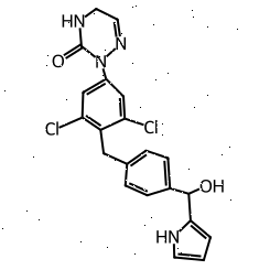 O=C1NCC=NN1c1cc(Cl)c(Cc2ccc(C(O)c3ccc[nH]3)cc2)c(Cl)c1